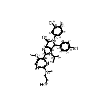 COc1cnc(N(C)CCO)nc1-c1nc2c(n1C(C)C)C(c1ccc(Cl)cc1)N(c1ccc(F)c(Cl)c1)C2=O